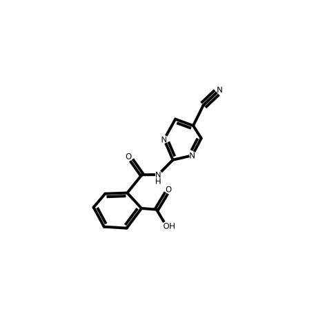 N#Cc1cnc(NC(=O)c2ccccc2C(=O)O)nc1